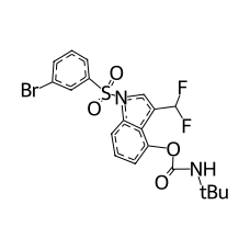 CC(C)(C)NC(=O)Oc1cccc2c1c(C(F)F)cn2S(=O)(=O)c1cccc(Br)c1